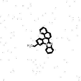 CCc1ccc2c3c(ccc4cccnc43)c3nc4ccccc4n3c2c1